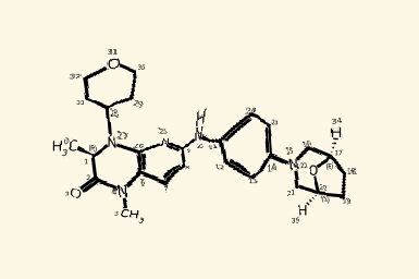 C[C@@H]1C(=O)N(C)c2ccc(Nc3ccc(N4C[C@H]5CC[C@@H](C4)O5)cc3)nc2N1C1CCOCC1